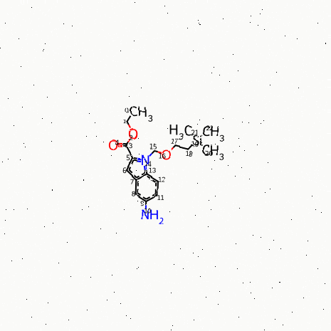 CCOC(=O)c1cc2cc(N)ccc2n1COCC[Si](C)(C)C